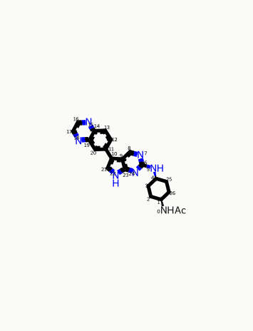 CC(=O)N[C@H]1CC[C@@H](Nc2ncc3c(-c4ccc5nccnc5c4)c[nH]c3n2)CC1